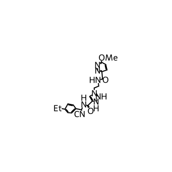 CCc1ccc(C(C#N)NC(=O)C2=CN(CCNC(=O)c3ccc(OC)nn3)NN2)cc1